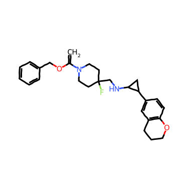 C=C(OCc1ccccc1)N1CCC(F)(CNC2CC2c2ccc3c(c2)CCCO3)CC1